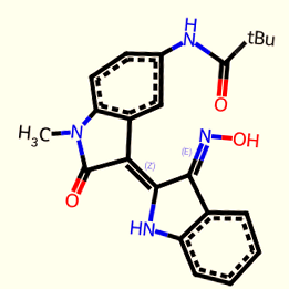 CN1C(=O)/C(=C2\Nc3ccccc3\C2=N/O)c2cc(NC(=O)C(C)(C)C)ccc21